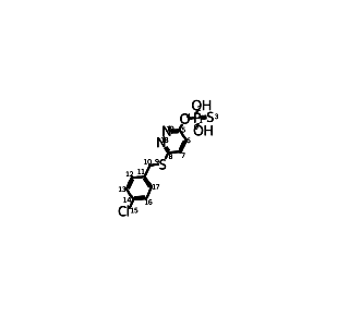 OP(O)(=S)Oc1ccc(SCc2ccc(Cl)cc2)nn1